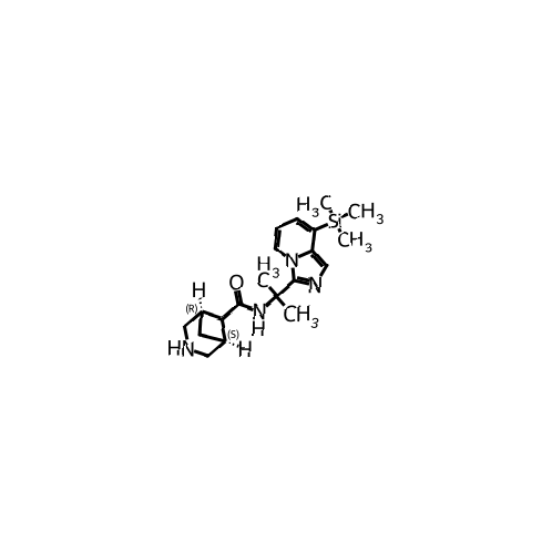 CC(C)(NC(=O)C1[C@@H]2CNC[C@H]1C2)c1ncc2c([Si](C)(C)C)cccn12